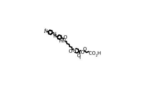 CN(C)c1ccc(/N=N/c2ccc(C(=O)NCCCCCC(=O)N3CCC(COI)(COC(=O)CCC(=O)O)CC3)cc2)cc1